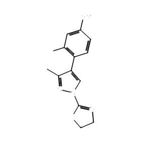 CNc1ccc(-c2cn(C3=NCCS3)nc2C)c(F)c1